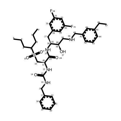 CCCC(CCC)S(=O)(=O)C[C@H](NC(=O)NCc1ccccc1)C(=O)N[C@@H](Cc1cc(F)cc(F)c1)[C@H](O)CNCc1cccc(CC)c1